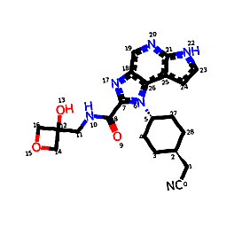 N#CC[C@H]1CC[C@H](n2c(C(=O)NCC3(O)COC3)nc3cnc4[nH]ccc4c32)CC1